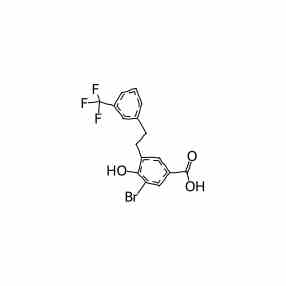 O=C(O)c1cc(Br)c(O)c(CCc2cccc(C(F)(F)F)c2)c1